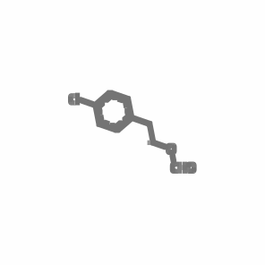 O=CO[CH]Cc1ccc(Cl)cc1